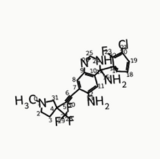 CN1CCC(C#Cc2cc3c(cc2N)C(N)(c2cccc(Cl)c2F)NC=N3)(C(F)(F)F)C1